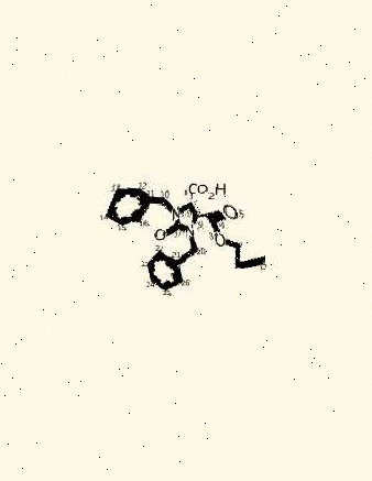 C=CCOC(=O)[C@@H]1[C@@H](C(=O)O)N(Cc2ccccc2)C(=O)N1Cc1ccccc1